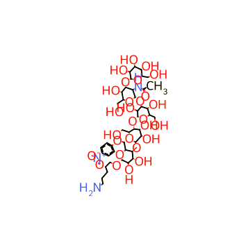 CC(=O)NC1[C@H](O[C@@H]2C(O)[C@@H](O[C@H]3C(CO)O[C@@H](O[C@@H]4C(COc5ccc([N+](=O)[O-])cc5)O[C@@H](OCCCCCN)C(O)[C@H]4O)C(O)[C@H]3O)OC(CO)[C@@H]2O)OC(CO)[C@H](O)[C@@H]1O[C@@H]1OC(CO)[C@H](O)[C@H](O)C1O